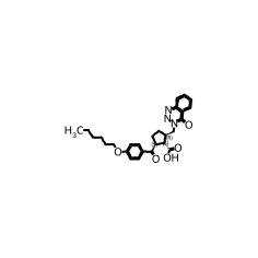 CCCCCCOc1ccc(C(=O)[C@H]2CC[C@@H](Cn3nnc4ccccc4c3=O)[C@@H]2C(=O)O)cc1